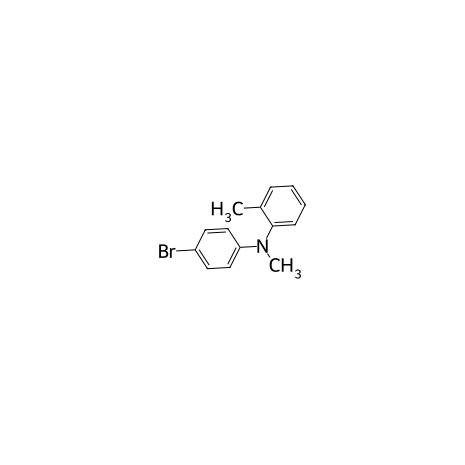 Cc1ccccc1N(C)c1ccc(Br)cc1